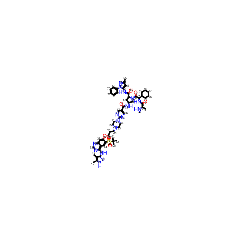 CNC(C)C(=O)NC(C(=O)N1C[C@@H](NC(=O)c2cnc(N3CCN(CCCOc4cc5ncnc(Nc6n[nH]c(C)c6C)c5cc4S(=O)(=O)C(C)(C)C)CC3)nc2)C[C@H]1C(=O)Nc1cc(C)nn1-c1ccccc1)C1CCCCC1